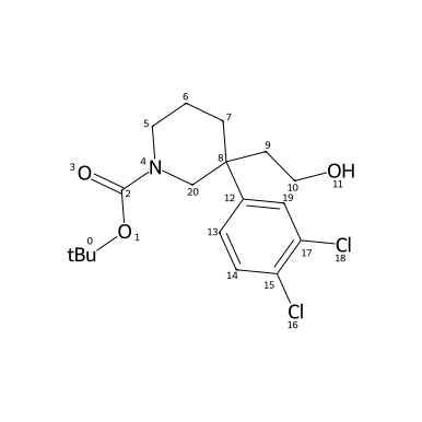 CC(C)(C)OC(=O)N1CCCC(CCO)(c2ccc(Cl)c(Cl)c2)C1